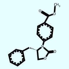 COC(=O)c1ccc(N2C(=O)OC[C@@H]2Cc2ccccc2)cc1